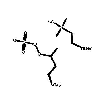 CCCCCCCCCCCCC(C)OOS(=O)(=O)[O-].CCCCCCCCCCCC[N+](C)(C)O